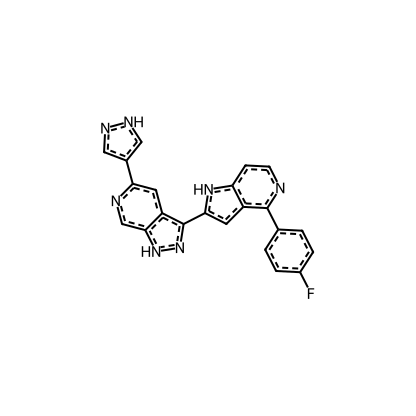 Fc1ccc(-c2nccc3[nH]c(-c4n[nH]c5cnc(-c6cn[nH]c6)cc45)cc23)cc1